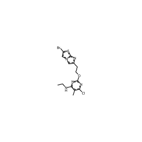 CCNc1nc(OCCc2cn3cc(Br)sc3n2)nc(Cl)c1C